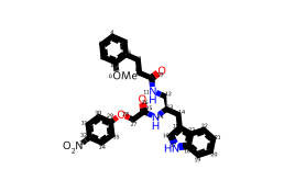 COc1ccccc1CCC(=O)NC[C@@H](Cc1c[nH]c2ccccc12)NC(=O)COc1ccc([N+](=O)[O-])cc1